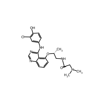 C[C@H](CNC(=O)CN(C)C)Oc1cccc2ncnc(Nc3ccc(O)c(Cl)c3)c12